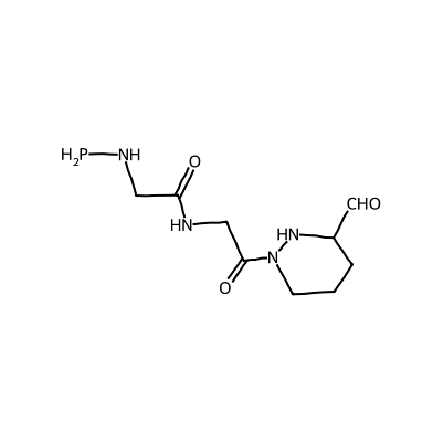 O=CC1CCCN(C(=O)CNC(=O)CNP)N1